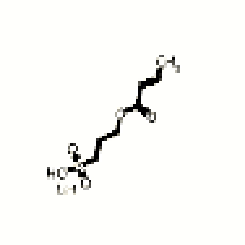 CC=CC(=O)OCCCS(=O)(=O)O.[LiH]